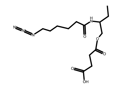 CCC(COC(=O)CCC(=O)O)NC(=O)CCCCCN=[N+]=[N-]